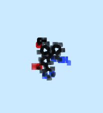 COc1ccc(C2(c3ccc(O)c(-c4cncnc4)c3)N=C(N)c3ccccc32)cc1